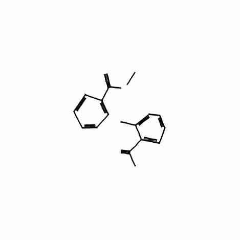 COC(=O)c1ccccc1.Cc1ccccc1C(=O)O